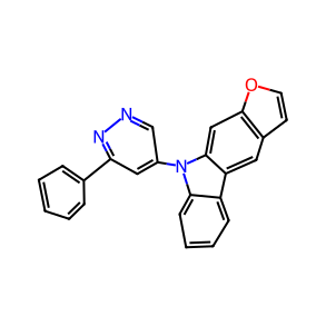 c1ccc(-c2cc(-n3c4ccccc4c4cc5ccoc5cc43)cnn2)cc1